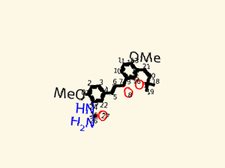 COc1ccc(C=CC(=O)c2ccc(OC)c3c2OC(C)(C)C=C3)cc1NC(N)=O